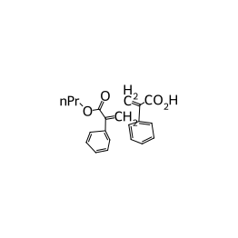 C=C(C(=O)O)c1ccccc1.C=C(C(=O)OCCC)c1ccccc1